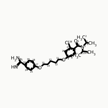 CC(C)N(C(=O)c1ccc(OCCCCCOc2ccc(C(=N)N)cc2)cc1Cl)C(C)C